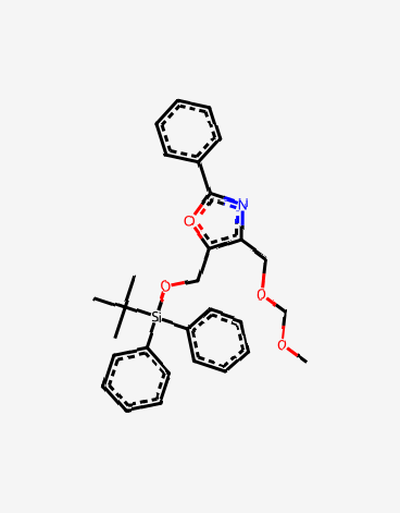 COCOCc1nc(-c2ccccc2)oc1CO[Si](c1ccccc1)(c1ccccc1)C(C)(C)C